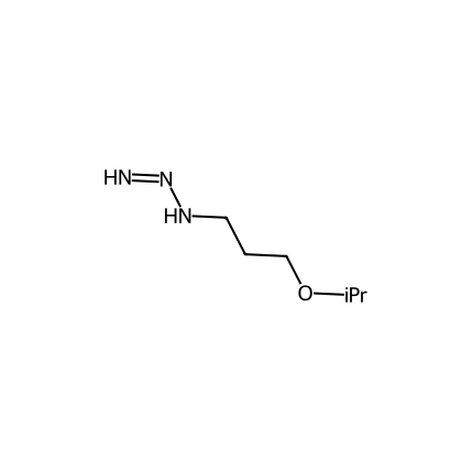 CC(C)OCCCNN=N